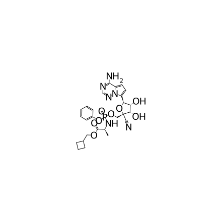 C[C@H](NP(=O)(OC[C@@]1(C#N)O[C@@H](c2ccc3c(N)ncnn23)[C@H](O)[C@@H]1O)Oc1ccccc1)C(=O)OCC1CCC1